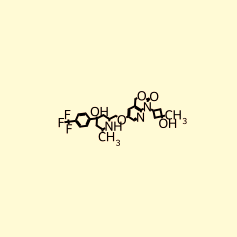 CC1CC(O)(c2ccc(C(F)(F)F)cc2)CC(COc2cnc3c(c2)COC(=O)N3C2CC(C)(O)C2)N1